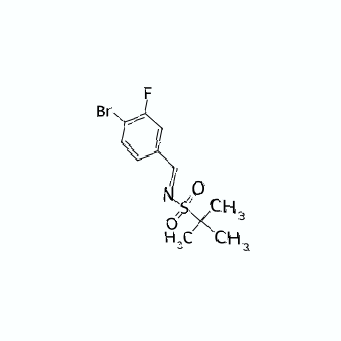 CC(C)(C)S(=O)(=O)N=Cc1ccc(Br)c(F)c1